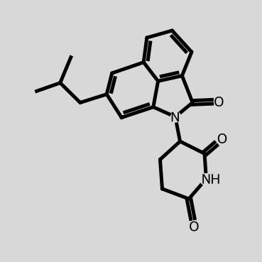 CC(C)Cc1cc2c3c(cccc3c1)C(=O)N2C1CCC(=O)NC1=O